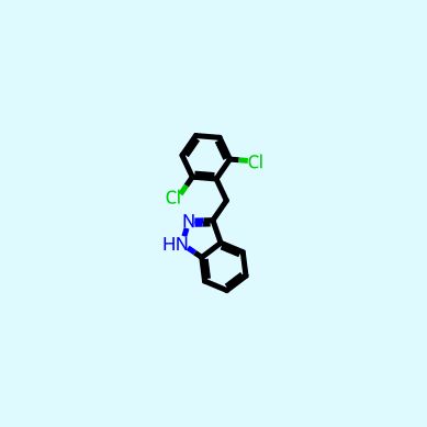 Clc1cccc(Cl)c1Cc1n[nH]c2ccccc12